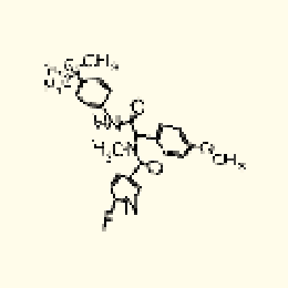 COc1ccc(C(C(=O)Nc2ccc([Si](C)(C)C)cc2)N(C)C(=O)c2ccc(F)nc2)cc1